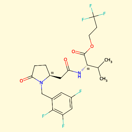 CC(C)[C@H](NC(=O)C[C@@H]1CCC(=O)N1Cc1cc(F)cc(F)c1F)C(=O)OCCC(F)(F)F